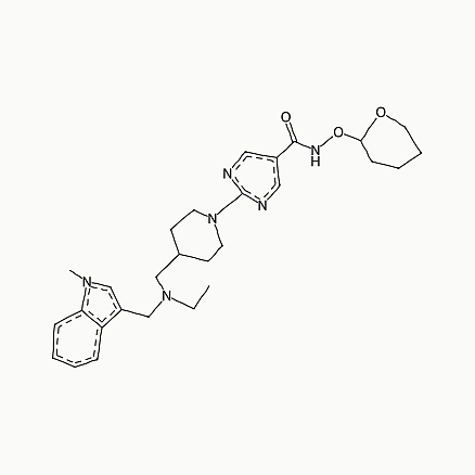 CCN(Cc1cn(C)c2ccccc12)CC1CCN(c2ncc(C(=O)NOC3CCCCO3)cn2)CC1